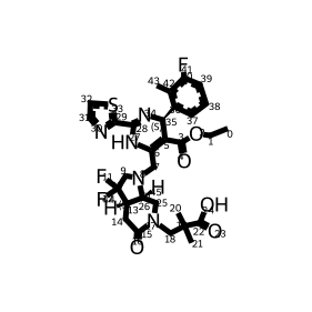 CCOC(=O)C1=C(CN2CC(F)(F)[C@H]3CC(=O)N(CC(C)(C)C(=O)O)C[C@H]32)NC(c2nccs2)=N[C@H]1c1cccc(F)c1C